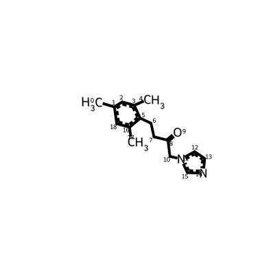 Cc1cc(C)c(CCC(=O)Cn2ccnc2)c(C)c1